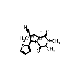 CC1C(=O)N2C(c3cccs3)[C@@](C)(C#N)C[C@H]2C(=O)N1C